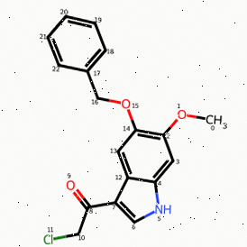 COc1cc2[nH]cc(C(=O)CCl)c2cc1OCc1ccccc1